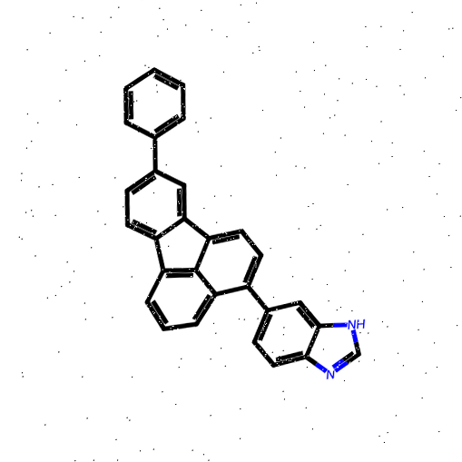 c1ccc(-c2ccc3c(c2)-c2ccc(-c4ccc5nc[nH]c5c4)c4cccc-3c24)cc1